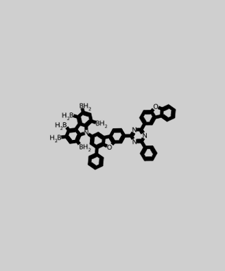 Bc1cc(B)c2c(c1B)c1c(B)c(B)cc(B)c1n2-c1cc(-c2ccccc2)c2oc3cc(-c4nc(-c5ccccc5)nc(-c5ccc6oc7ccccc7c6c5)n4)ccc3c2c1